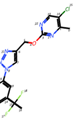 Cc1nc(OCc2cn(-c3ccc(F)c(C(C)(F)F)c3)nn2)ncc1Cl